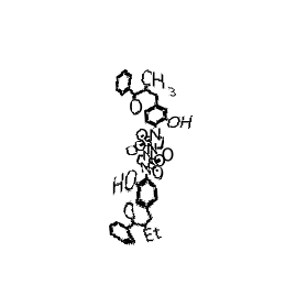 CCC(Cc1ccc(N2CC(=O)N(N3C(=O)CN(c4ccc(CC(C)C(=O)c5ccccc5)cc4O)S3(=O)=O)S2(=O)=O)c(O)c1)C(=O)c1ccccc1